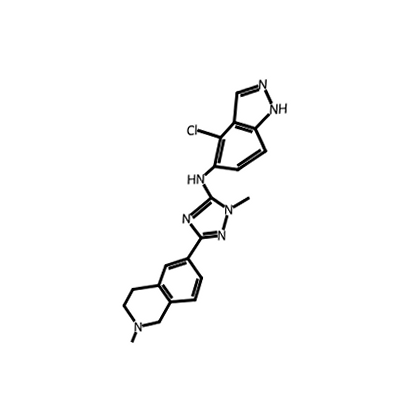 CN1CCc2cc(-c3nc(Nc4ccc5[nH]ncc5c4Cl)n(C)n3)ccc2C1